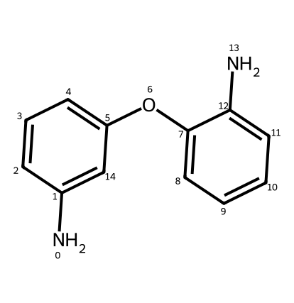 Nc1cccc(Oc2ccccc2N)c1